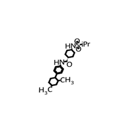 CC1CCC(c2ccc(NC(=O)[C@H]3CC[C@H](NS(=O)(=O)C(C)C)CC3)cc2)C(C)C1